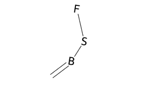 C=BSF